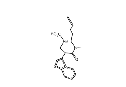 C=CCCCN(C)C(=O)C(CNC(=O)O)c1csc2ccccc12